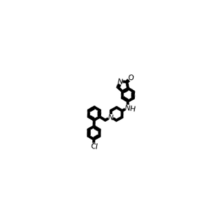 O=C1N=Cc2cc(NC3CCN(Cc4ccccc4-c4ccc(Cl)cc4)CC3)ccc21